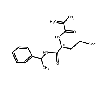 C=C(C)C(=O)N[C@@H](CCSC)C(=O)NC(C)c1ccccc1